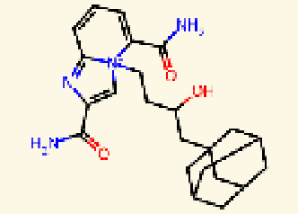 NC(=O)C1=C[N+]2(CCC(O)CC34CC5CC(CC(C5)C3)C4)C(C(N)=O)=CC=CC2=N1